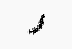 Cc1ccc(-c2ccc3c(F)c(-c4cc(F)c(C(F)(F)Oc5cc(F)c6c(F)c(C#CC(F)(F)F)c(F)cc6c5)c(F)c4)c(F)cc3c2)nc1